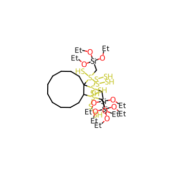 CCO[Si](CS(S)(SS)C1CCCCCCCCCCC1(S(S)(C[Si](OCC)(OCC)OCC)SS)S(S)(C[Si](OCC)(OCC)OCC)SS)(OCC)OCC